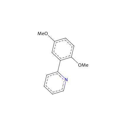 COc1ccc(OC)c(-c2ccccn2)c1